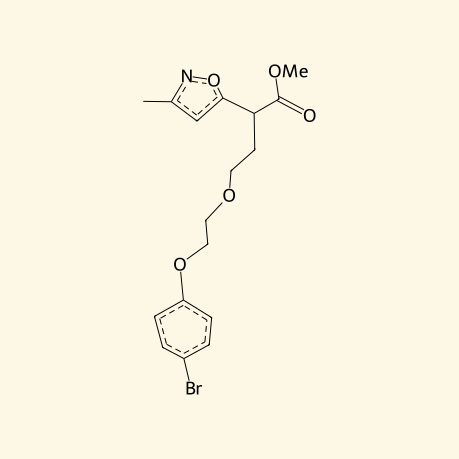 COC(=O)C(CCOCCOc1ccc(Br)cc1)c1cc(C)no1